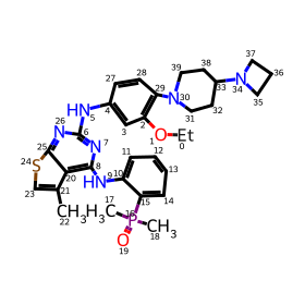 CCOc1cc(Nc2nc(Nc3ccccc3P(C)(C)=O)c3c(C)csc3n2)ccc1N1CCC(N2CCC2)CC1